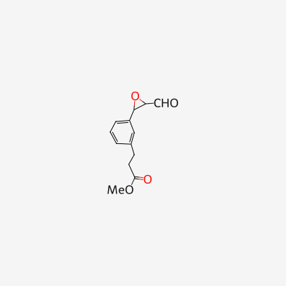 COC(=O)CCc1cccc(C2OC2C=O)c1